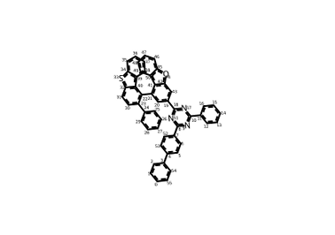 c1ccc(-c2ccc(-c3nc(-c4ccccc4)nc(-c4cc(-c5c(-c6ccccc6)ccc6sc7ccccc7c56)c5c(c4)oc4ccccc45)n3)cc2)cc1